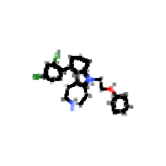 Clc1ccc(-c2cccc3c2c2c(n3CCOc3ccccc3)CCNCC2)c(Cl)c1